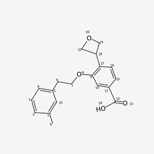 Cc1cccc(CCOc2cc(C(=O)O)ccc2C2COC2)c1